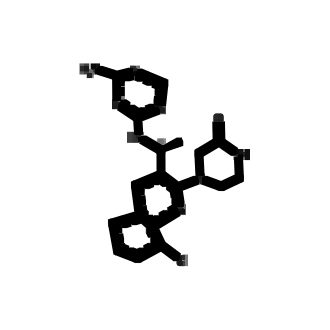 C[C@H](Nc1ncnc(N)n1)c1cc2cccc(Cl)c2nc1N1CCNC(=O)C1